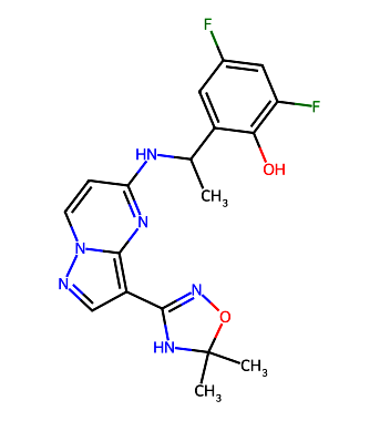 CC(Nc1ccn2ncc(C3=NOC(C)(C)N3)c2n1)c1cc(F)cc(F)c1O